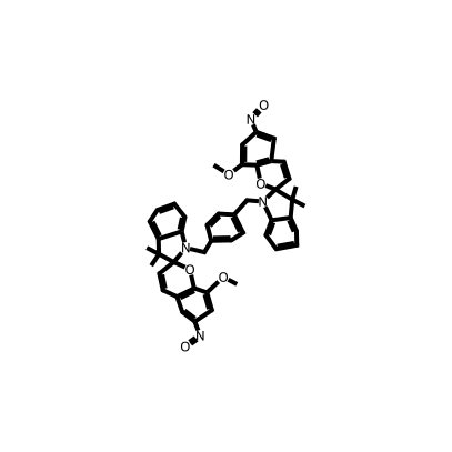 COc1cc(N=O)cc2c1OC1(C=C2)N(Cc2ccc(CN3c4ccccc4C(C)(C)C34C=Cc3cc(N=O)cc(OC)c3O4)cc2)c2ccccc2C1(C)C